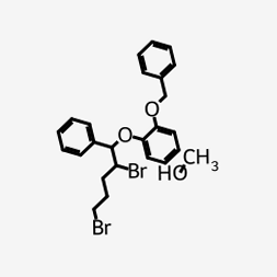 BrCCCC(Br)C(Oc1ccccc1OCc1ccccc1)c1ccccc1.CO